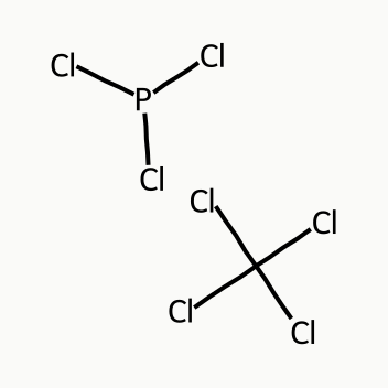 ClC(Cl)(Cl)Cl.ClP(Cl)Cl